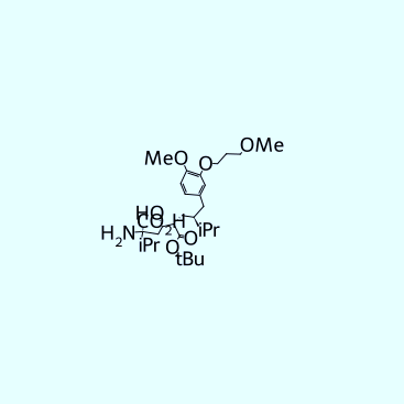 COCCCOc1cc(C[C@H](C[C@H](C(=O)OC(C)(C)C)[C@@H](O)C[C@@](N)(C(=O)O)C(C)C)C(C)C)ccc1OC